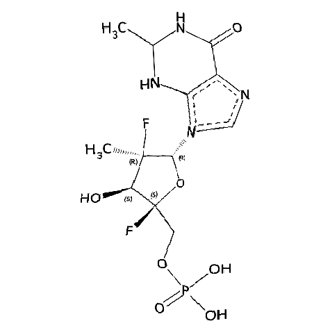 CC1NC(=O)c2ncn([C@@H]3O[C@](F)(COP(=O)(O)O)[C@@H](O)[C@@]3(C)F)c2N1